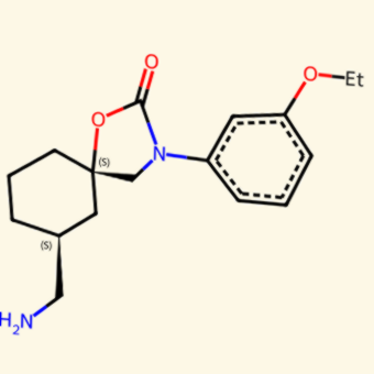 CCOc1cccc(N2C[C@@]3(CCC[C@H](CN)C3)OC2=O)c1